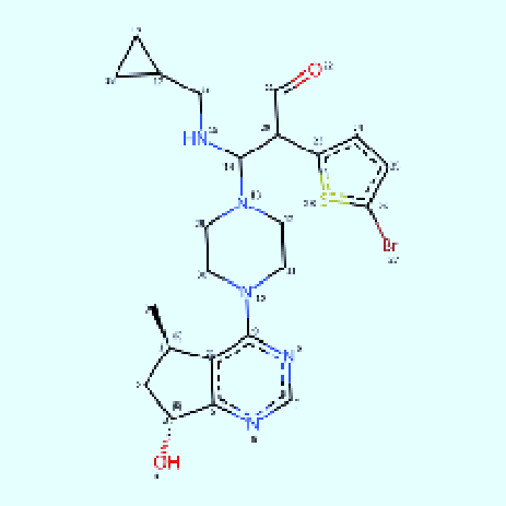 C[C@@H]1C[C@@H](O)c2ncnc(N3CCN(C(NCC4CC4)C(C=O)c4ccc(Br)s4)CC3)c21